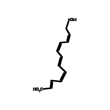 CCCCCCCCC\C=C/C=C\C=C\C=C/C=C/C(=O)O